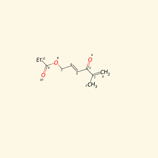 C=C(C)C(=O)C=CCOC(=O)CC